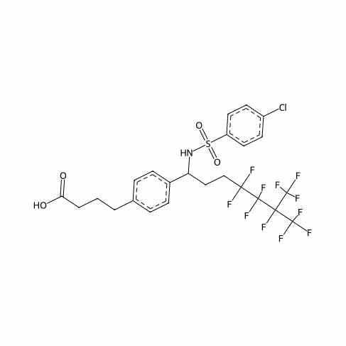 O=C(O)CCCc1ccc(C(CCC(F)(F)C(F)(F)C(F)(C(F)(F)F)C(F)(F)F)NS(=O)(=O)c2ccc(Cl)cc2)cc1